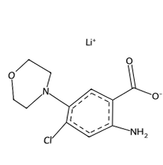 Nc1cc(Cl)c(N2CCOCC2)cc1C(=O)[O-].[Li+]